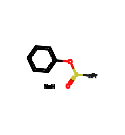 CCCS(=O)Oc1ccccc1.[NaH]